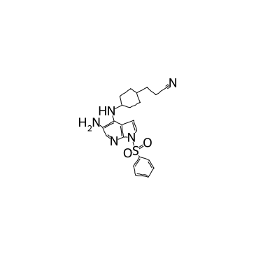 N#CCCC1CCC(Nc2c(N)cnc3c2ccn3S(=O)(=O)c2ccccc2)CC1